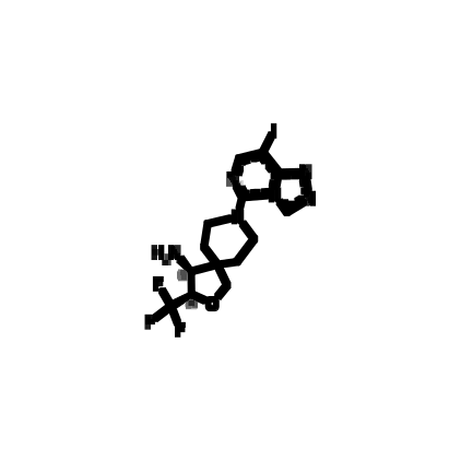 N[C@@H]1[C@H](C(F)(F)F)OCC12CCN(c1ncc(I)c3nncn13)CC2